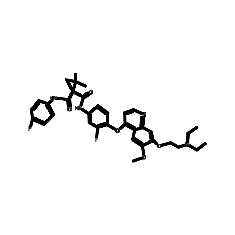 CCN(CC)CCOc1cc2nccc(Oc3ccc(NC(=O)C4(C(=O)Nc5ccc(F)cc5)CC4(C)C)cc3F)c2cc1OC